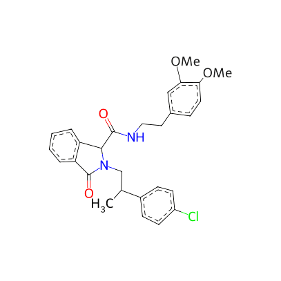 COc1ccc(CCNC(=O)C2c3ccccc3C(=O)N2CC(C)c2ccc(Cl)cc2)cc1OC